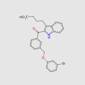 O=C(O)CCCc1c(C(=O)c2cccc(COc3cccc(Br)c3)c2)[nH]c2ccccc12